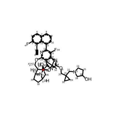 C#Cc1c(F)ccc2cccc(-c3nc4c5c(nc(OCC6(CN7CCC(O)C7)CC6)nc5c3F)N3C[C@H]5CC[C@@H]([C@H]3[C@H](C)O4)N5C(=O)OC(C)(C)C)c12